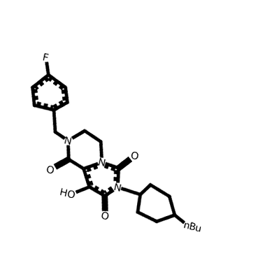 CCCCC1CCC(n2c(=O)c(O)c3n(c2=O)CCN(Cc2ccc(F)cc2)C3=O)CC1